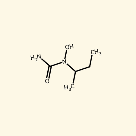 CCC(C)N(O)C(N)=O